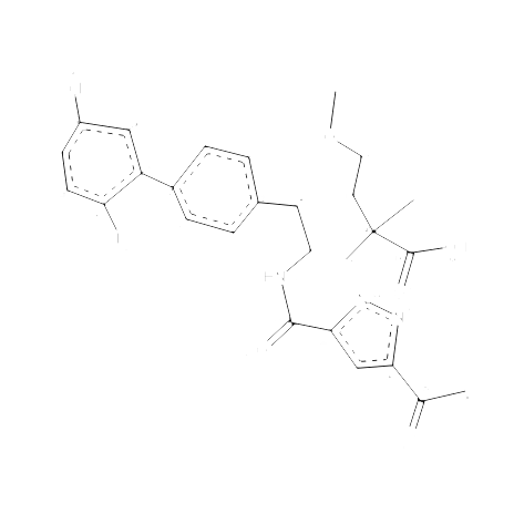 COCCC(C)(C[C@@H](Cc1ccc(-c2cc(Cl)ccc2F)cc1)NC(=O)c1cc(C(C)=O)n[nH]1)C(=O)O